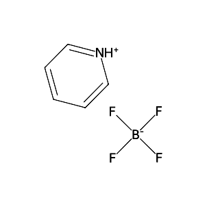 F[B-](F)(F)F.c1cc[nH+]cc1